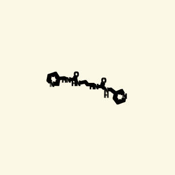 O=C(NCCCNC(=O)NCc1cccnc1)NCc1cccnc1